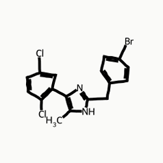 Cc1[nH]c(Cc2ccc(Br)cc2)nc1-c1cc(Cl)ccc1Cl